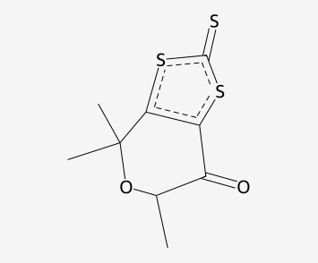 CC1OC(C)(C)c2sc(=S)sc2C1=O